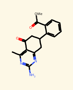 COC(=O)c1ccccc1C1CC(=O)c2c(C)nc(N)nc2C1